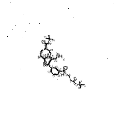 CC(C)(C)OC(=O)CCNC(=O)c1cccc(-c2nc3n(c2CN)CC(C(=O)OC(C)(C)C)CC3)c1